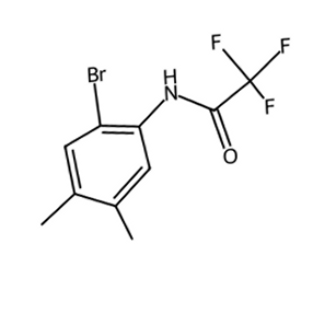 Cc1cc(Br)c(NC(=O)C(F)(F)F)cc1C